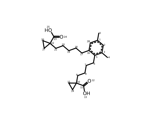 Cc1cc(C)c(CCCCC2(C(=O)O)CC2)c(CCCCCC2(C(=O)O)CC2)c1